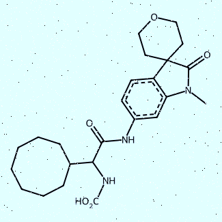 CN1C(=O)C2(CCOCC2)c2ccc(NC(=O)C(NC(=O)O)C3CCCCCCC3)cc21